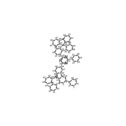 c1ccc(-c2cc(-c3ccccc3)c3c(c2)c2cc(-c4nc(-c5ccccc5)nc(-c5cccc6c5-c5ccccc5C65c6ccccc6-c6ccccc65)n4)ccc2n3-c2ccccc2)cc1